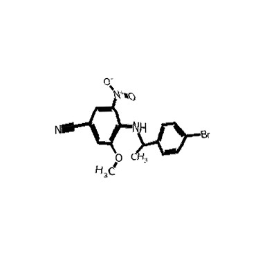 COc1cc(C#N)cc([N+](=O)[O-])c1NC(C)c1ccc(Br)cc1